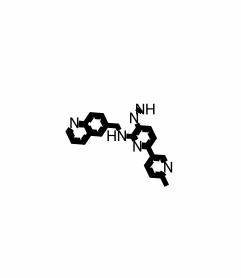 Cc1ccc(-c2ccc(N=N)c(NCc3ccc4ncccc4c3)n2)cn1